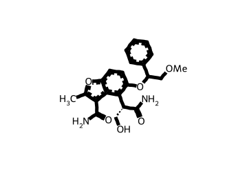 COCC(Oc1ccc2oc(C)c(C(N)=O)c2c1[C@@H](CO)C(N)=O)c1ccccc1